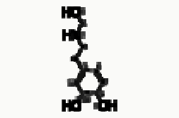 OCNCCc1ccc(O)c(O)c1